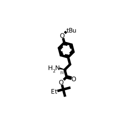 CCC(C)(C)OC(=O)[C@@H](N)Cc1ccc(OC(C)(C)C)cc1